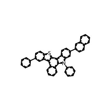 c1ccc(-c2ccc3sc4c(c3c2)c2ccccc2c2c4c3ccc(-c4ccc5ccccc5c4)cc3n2-c2ccccc2)cc1